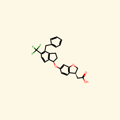 O=C(O)C[C@@H]1COc2cc(O[C@@H]3CCc4c3ccc(C(F)(F)F)c4Cc3ccccc3)ccc21